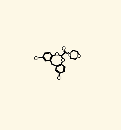 O=C(C1Oc2ccc(Cl)cc2Cc2cc(Cl)ccc2O1)N1CCOCC1